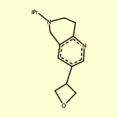 CC(C)N1CCc2ncc(C3COC3)cc2C1